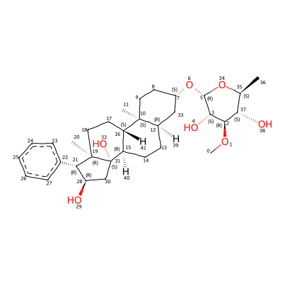 CO[C@H]1[C@H](O)[C@H](O[C@H]2CC[C@@]3(C)[C@H](CC[C@@H]4[C@@H]3CC[C@]3(C)[C@@H](c5ccccc5)[C@H](O)C[C@]43O)C2)O[C@@H](C)[C@@H]1O